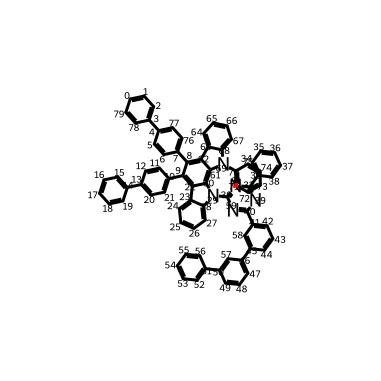 c1ccc(-c2ccc(-c3c(-c4ccc(-c5ccccc5)cc4)c4c5ccccc5n(-c5nc(-c6ccccc6)nc(-c6cccc(-c7cccc(-c8ccccc8)c7)c6)n5)c4c4c3c3ccccc3n4-c3ccccc3)cc2)cc1